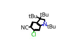 CC(C)(C)N1CC(C(C)(C)C)(C(C)(C)C)c2cc(C#N)c(Cl)cc21